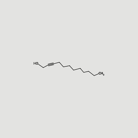 CCCCCCCCCC#CCO